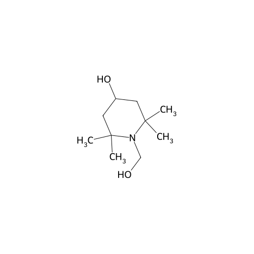 CC1(C)CC(O)CC(C)(C)N1CO